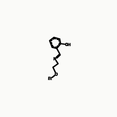 CCOCC/N=C/c1ccccc1O